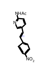 CC(=O)Nc1ccc(/C=C/c2ccc([N+](=O)[O-])cc2)cn1